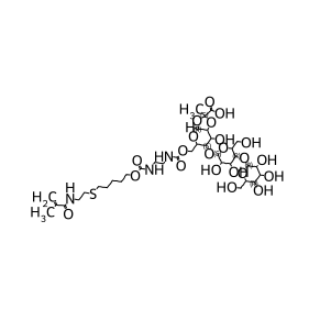 C=C(C)C(=O)NCCSCCCCCOC(=O)NCCNC(=O)OCC1O[C@@H]2O[C@@](C)(C(=O)O)OC2C(O)[C@@H]1O[C@@H]1OC(CO)[C@H](O[C@H]2OC(CO)[C@H](O)C(O)C2O)C(O)C1O